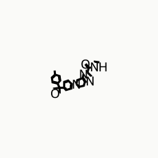 CCNC(=O)c1cnc2c(n1)CN(c1ccc(C3(c4ccc(C)cc4)COC3)cc1)CC2